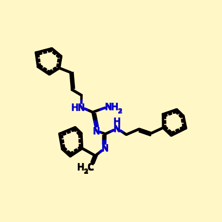 C=C(/N=C(\N=C(/N)NC/C=C/c1ccccc1)NC/C=C/c1ccccc1)c1ccccc1